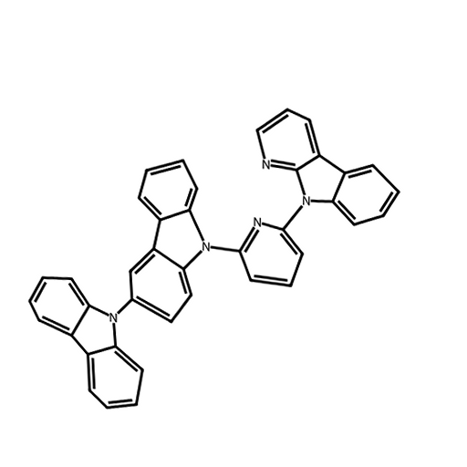 c1cc(-n2c3ccccc3c3cc(-n4c5ccccc5c5ccccc54)ccc32)nc(-n2c3ccccc3c3cccnc32)c1